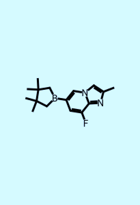 Cc1cn2cc(B3CC(C)(C)C(C)(C)C3)cc(F)c2n1